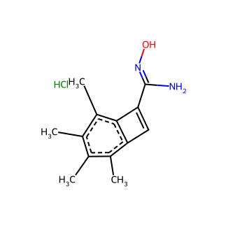 Cc1c(C)c(C)c2c(c1C)C=C2C(N)=NO.Cl